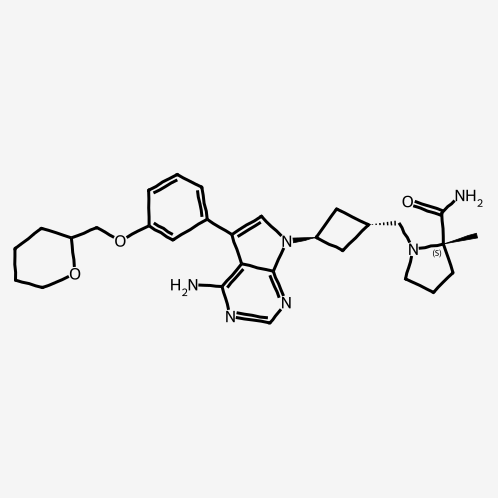 C[C@@]1(C(N)=O)CCCN1C[C@H]1C[C@H](n2cc(-c3cccc(OCC4CCCCO4)c3)c3c(N)ncnc32)C1